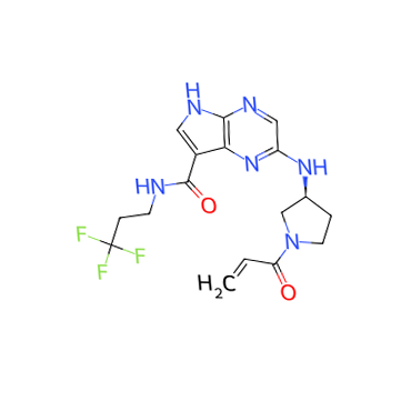 C=CC(=O)N1CC[C@H](Nc2cnc3[nH]cc(C(=O)NCCC(F)(F)F)c3n2)C1